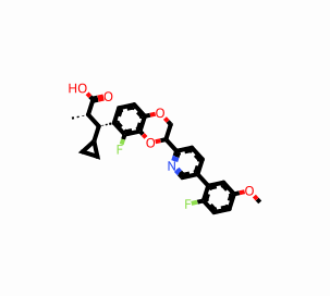 COc1ccc(F)c(-c2ccc(C3COc4ccc([C@H](C5CC5)[C@H](C)C(=O)O)c(F)c4O3)nc2)c1